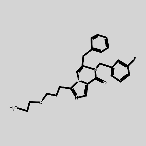 CCCOCCCc1ncc2c(=O)n(Cc3cccc(F)c3)c(Cc3ccccc3)cn12